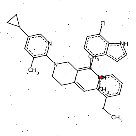 CCc1cccc(CC)c1/C=C1/CCN(c2ncc(C3CC3)cc2C)C/C1=C(/NC)c1ccc(Cl)c2[nH]ccc12